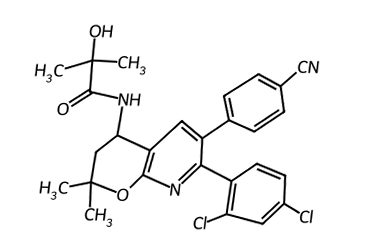 CC1(C)CC(NC(=O)C(C)(C)O)c2cc(-c3ccc(C#N)cc3)c(-c3ccc(Cl)cc3Cl)nc2O1